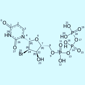 O=c1ccn([C@@H]2O[C@H](COP(=O)(O)OP(=O)(O)OP(=O)(O)O)[C@@H](O)[C@H]2Br)c(=O)[nH]1